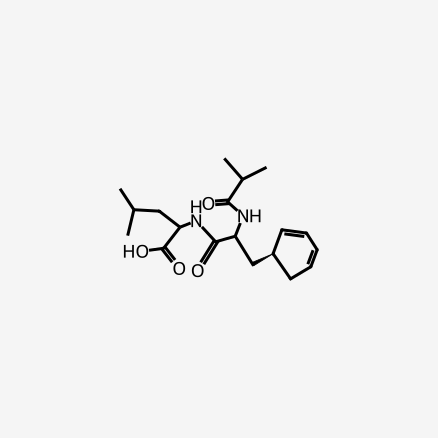 CC(C)CC(NC(=O)C(C[C@H]1C=CC=CC1)NC(=O)C(C)C)C(=O)O